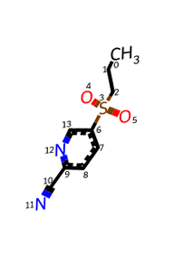 CCCS(=O)(=O)c1ccc(C#N)nc1